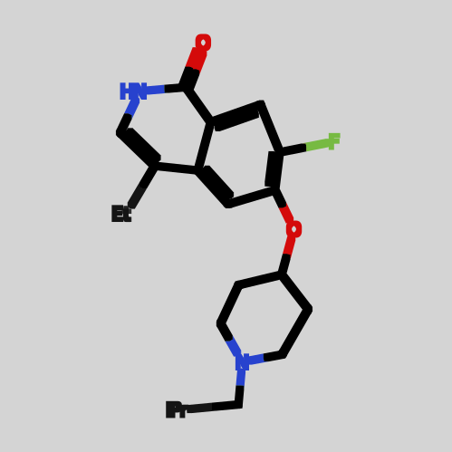 CCc1c[nH]c(=O)c2cc(F)c(OC3CCN(CC(C)C)CC3)cc12